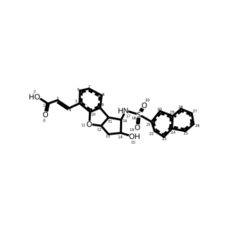 O=C(O)C=Cc1cccc2c1OC1CC(O)C(NS(=O)(=O)c3ccc4ccccc4c3)C21